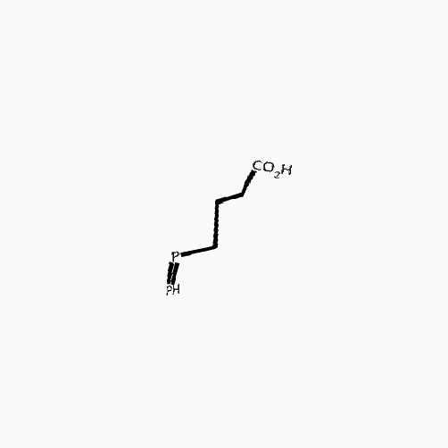 O=C(O)CCCP=P